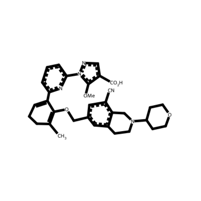 COc1c(C(=O)O)cnn1-c1cccc(C2=CCCC(C)=C2OCc2cc(C#N)c3c(c2)CCN(C2CCOCC2)C3)n1